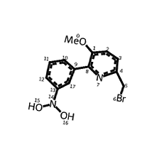 COc1ccc(CBr)nc1-c1cccc(N(O)O)c1